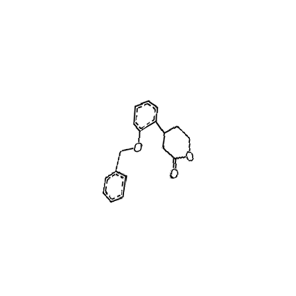 O=C1CC(c2ccccc2OCc2ccccc2)CCO1